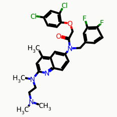 Cc1cc(N(C)CCN(C)C)nc2ccc(N(Cc3ccc(F)c(F)c3)C(=O)COc3ccc(Cl)cc3Cl)cc12